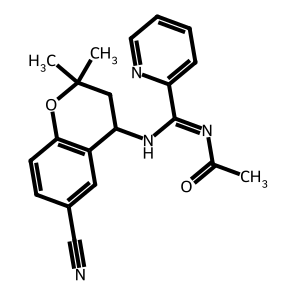 CC(=O)/N=C(\NC1CC(C)(C)Oc2ccc(C#N)cc21)c1ccccn1